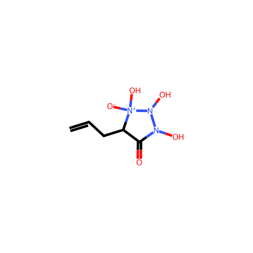 C=CCC1C(=O)N(O)N(O)[N+]1([O-])O